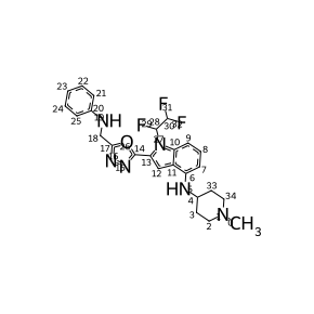 CN1CCC(Nc2cccc3c2cc(-c2nnc(CNc4ccccc4)o2)n3C(F)C(F)F)CC1